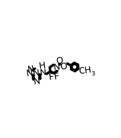 Cc1ccc(COC(=O)N2CCC(CNc3cncc4nncn34)C(F)(F)C2)cc1